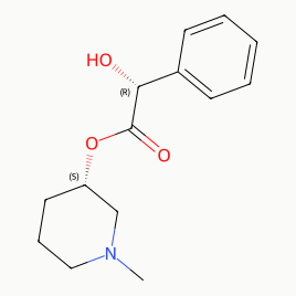 CN1CCC[C@H](OC(=O)[C@H](O)c2ccccc2)C1